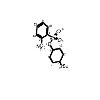 CC(C)(C)C1CCC(OS(=O)(=O)c2ccccc2[N+](=O)[O-])CC1